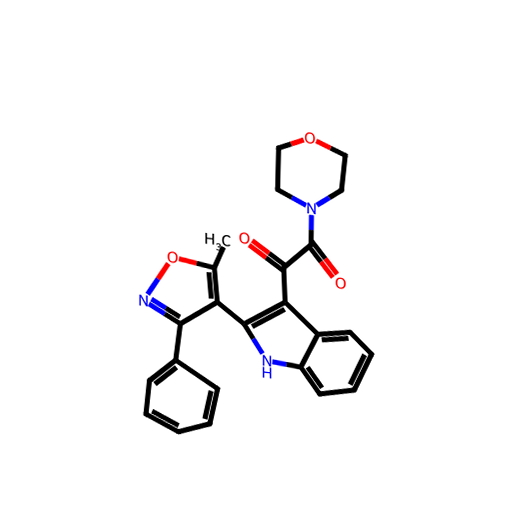 Cc1onc(-c2ccccc2)c1-c1[nH]c2ccccc2c1C(=O)C(=O)N1CCOCC1